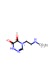 CCOC(=O)NCCn1[c]n[nH]c(=O)c1=O